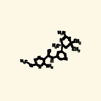 COc1cnc(C(=O)Nc2cncc([C@]3(C)CC(C)(C)SC(N)=N3)c2)c(N)n1